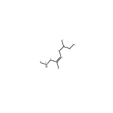 CCC(C)C/C=C(/C)CNC